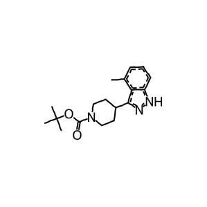 Cc1cccc2[nH]nc(C3CCN(C(=O)OC(C)(C)C)CC3)c12